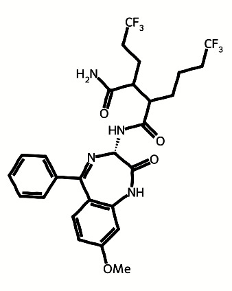 COc1ccc2c(c1)NC(=O)[C@@H](NC(=O)C(CCCC(F)(F)F)C(CCC(F)(F)F)C(N)=O)N=C2c1ccccc1